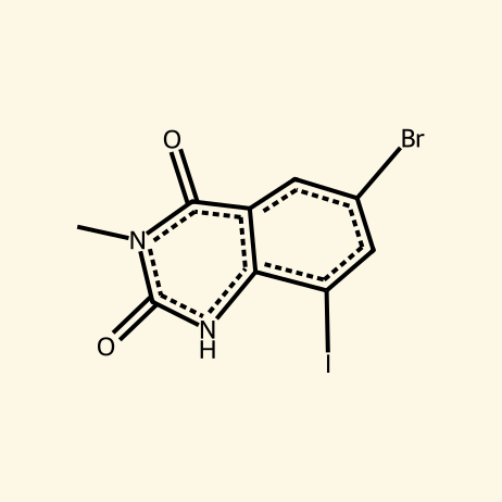 Cn1c(=O)[nH]c2c(I)cc(Br)cc2c1=O